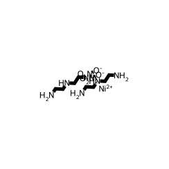 NCCNCCN.NCCNCCN.O=[N+]([O-])[O-].O=[N+]([O-])[O-].[Ni+2]